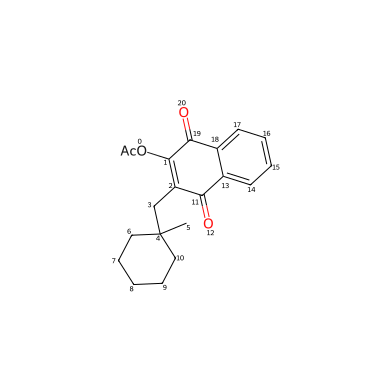 CC(=O)OC1=C(CC2(C)CCCCC2)C(=O)c2ccccc2C1=O